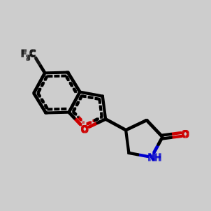 O=C1CC(c2cc3cc(C(F)(F)F)ccc3o2)CN1